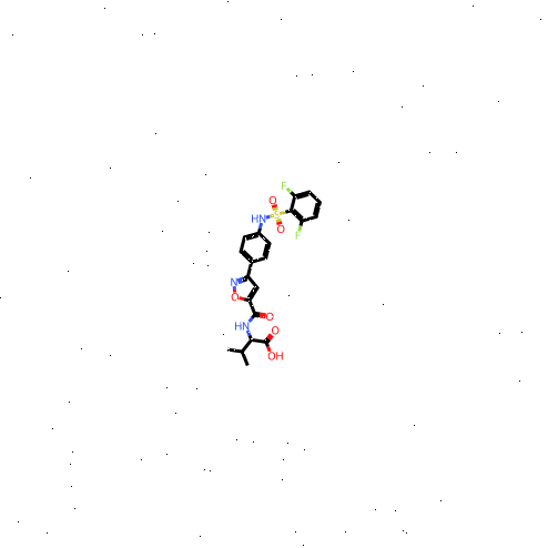 CC(C)C(NC(=O)c1cc(-c2ccc(NS(=O)(=O)c3c(F)cccc3F)cc2)no1)C(=O)O